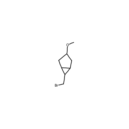 COC1CC2C(CBr)C2C1